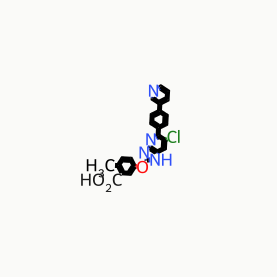 Cc1ccc(Oc2nc3nc(-c4ccc(-c5cccnc5)cc4)c(Cl)cc3[nH]2)cc1C(=O)O